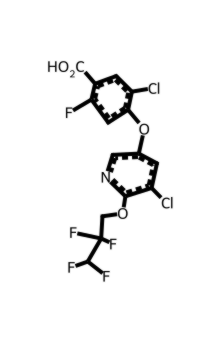 O=C(O)c1cc(Cl)c(Oc2cnc(OCC(F)(F)C(F)F)c(Cl)c2)cc1F